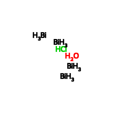 Cl.O.[BiH3].[BiH3].[BiH3].[BiH3]